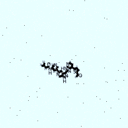 CC(=O)c1ccc(-c2ccnc3[nH]c(-c4n[nH]c5cnc(-c6cncc(NC(=O)CC(C)C)c6)cc45)nc23)s1